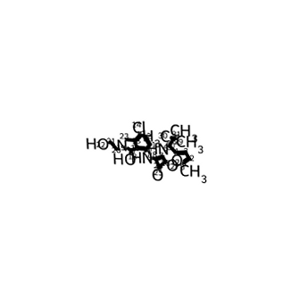 Cc1ccc([C@H](Nc2c(Nc3ccc(Cl)c4c3C(O)N(CCO)C4)c(=O)c2=O)C(C)(C)C)o1